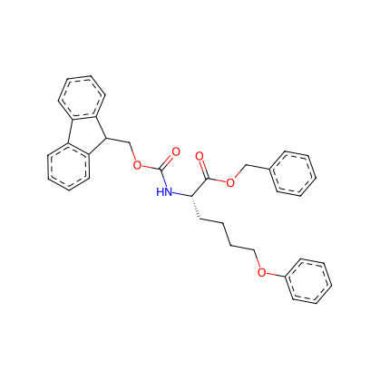 O=C(N[C@@H](CCCCOc1ccccc1)C(=O)OCc1ccccc1)OCC1c2ccccc2-c2ccccc21